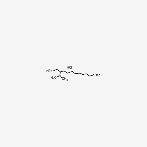 CCCCCCCCCCCCCCCCCCC(CCCCCCCCCCC)N(C)C.Cl